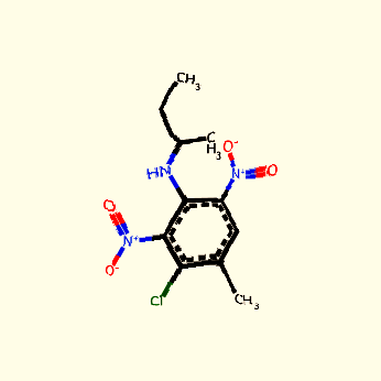 CCC(C)Nc1c([N+](=O)[O-])cc(C)c(Cl)c1[N+](=O)[O-]